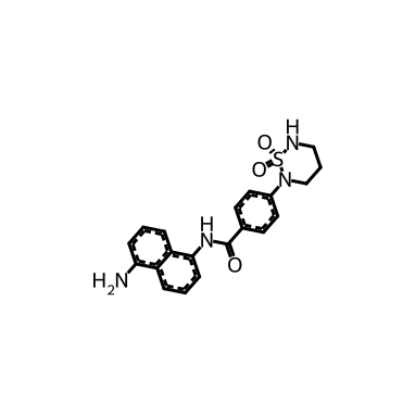 Nc1cccc2c(NC(=O)c3ccc(N4CCCNS4(=O)=O)cc3)cccc12